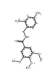 CCOc1cc(C(=O)NCc2ccc(C)nc2N)cc(OCC)c1OCC